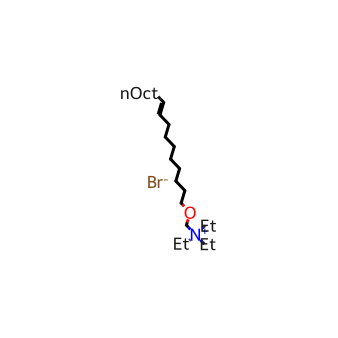 CCCCCCCCC=CCCCCCCCCOC[N+](CC)(CC)CC.[Br-]